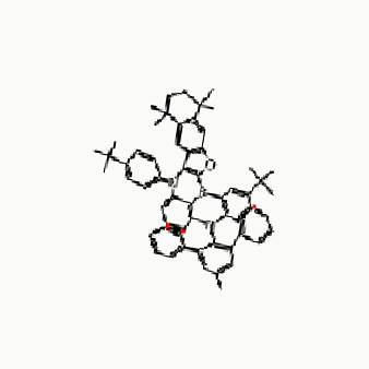 Cc1cc(-c2ccccc2)c(N2c3ccc(C(C)(C)C)cc3B3c4oc5cc6c(cc5c4N(c4ccc(C(C)(C)C)cc4)c4cc(C)cc2c43)C(C)(C)CCC6(C)C)c(-c2ccccc2)c1